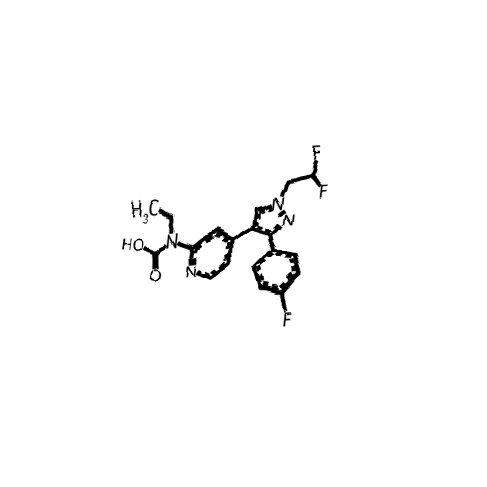 CCN(C(=O)O)c1cc(-c2cn(CC(F)F)nc2-c2ccc(F)cc2)ccn1